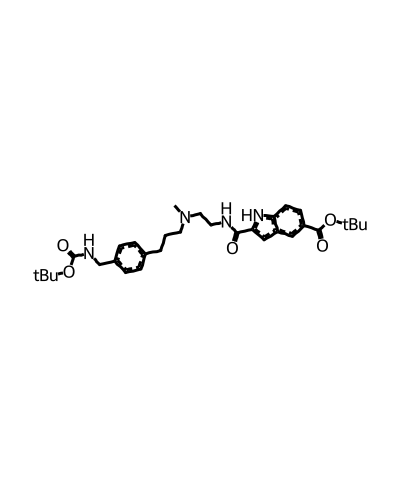 CN(CCCc1ccc(CNC(=O)OC(C)(C)C)cc1)CCNC(=O)c1cc2cc(C(=O)OC(C)(C)C)ccc2[nH]1